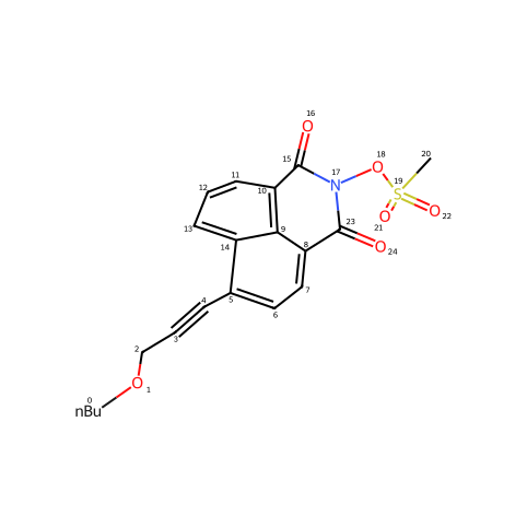 CCCCOCC#Cc1ccc2c3c(cccc13)C(=O)N(OS(C)(=O)=O)C2=O